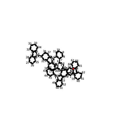 c1ccc(-c2nc(-c3ccccc3-n3c4ccccc4c4cc(-n5c6ccccc6c6ccccc65)ccc43)nc(-c3ccccc3-n3c4ccccc4c4cc(-n5c6ccccc6c6ccccc65)ccc43)n2)cc1